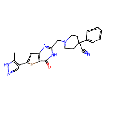 Cc1[nH]ncc1-c1cc2nc(CN3CCC(C#N)(c4ccccc4)CC3)[nH]c(=O)c2s1